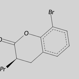 CC(C)[C@@H]1Cc2cccc(Br)c2OC1=O